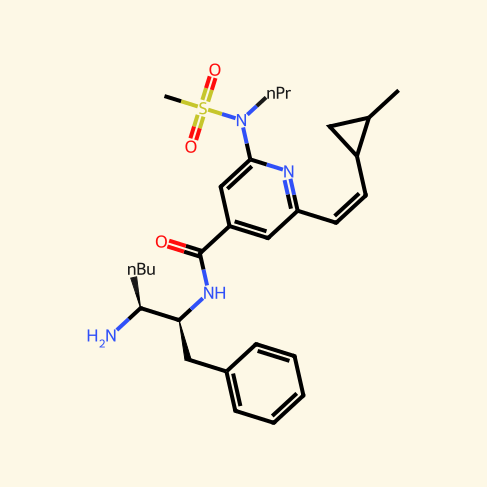 CCCC[C@H](N)[C@H](Cc1ccccc1)NC(=O)c1cc(/C=C\C2CC2C)nc(N(CCC)S(C)(=O)=O)c1